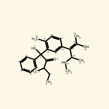 CCC(C)C(=O)C(S)(c1ccccc1)c1cc(/C(=C(\C)O)C(C)NC)ccc1C